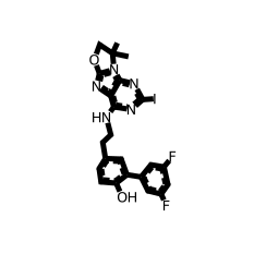 CC1(C)COc2nc3c(NCCc4ccc(O)c(-c5cc(F)cc(F)c5)c4)nc(I)nc3n21